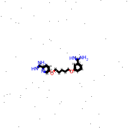 N=C(N)c1cccc(OCCCCCOc2ccc(C(=N)N)nc2)c1